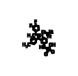 CCN(CC)CC.Cc1ccc(C(NC(C)c2ccc(F)c(F)c2)c2cccc(Nc3c(O)c(=O)c3=O)c2)cc1